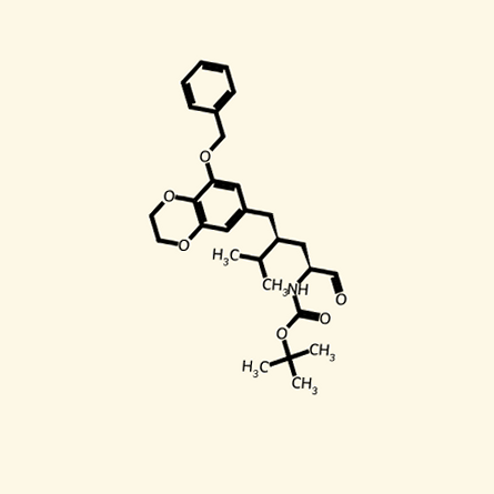 CC(C)[C@@H](Cc1cc2c(c(OCc3ccccc3)c1)OCCO2)C[C@@H](C=O)NC(=O)OC(C)(C)C